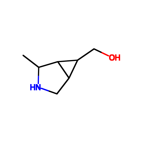 CC1NCC2C(CO)C12